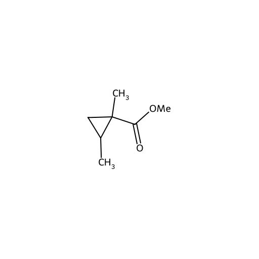 COC(=O)C1(C)CC1C